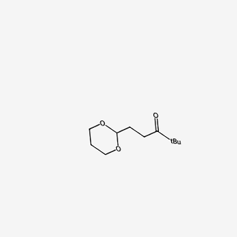 CC(C)(C)C(=O)CCC1OCCCO1